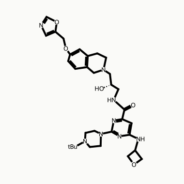 CC(C)(C)N1CCN(c2nc(NC3COC3)cc(C(=O)NC[C@H](O)CN3CCc4cc(OCc5cnco5)ccc4C3)n2)CC1